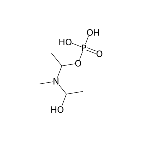 CC(O)N(C)C(C)OP(=O)(O)O